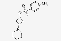 Cc1ccc(S(=O)(=O)OC2CC(N3CCCCC3)C2)cc1